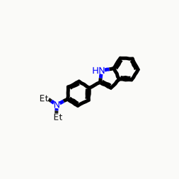 CCN(CC)c1ccc(-c2cc3ccccc3[nH]2)cc1